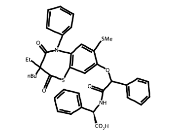 CCCCC1(CC)C(=O)Sc2cc(OC(C(=O)N[C@@H](C(=O)O)c3ccccc3)c3ccccc3)c(SC)cc2N(c2ccccc2)C1=O